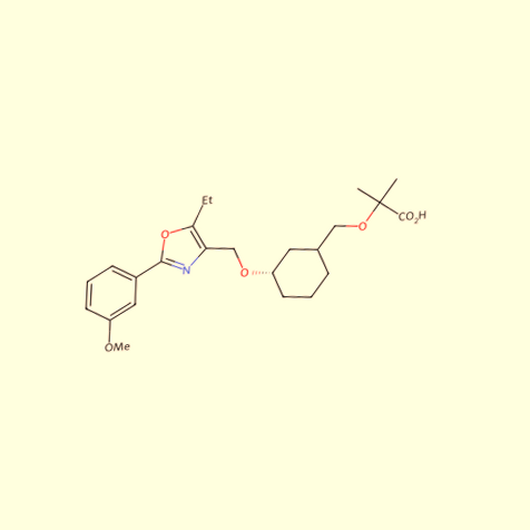 CCc1oc(-c2cccc(OC)c2)nc1CO[C@H]1CCCC(COC(C)(C)C(=O)O)C1